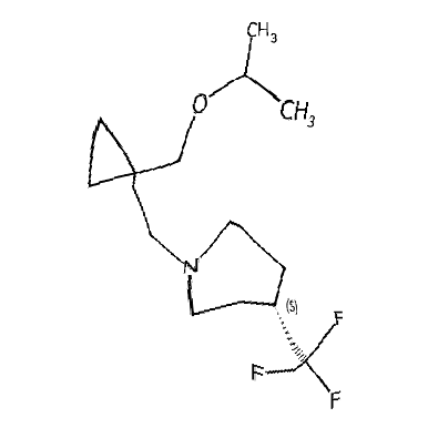 CC(C)OCC1(CN2CC[C@H](C(F)(F)F)C2)CC1